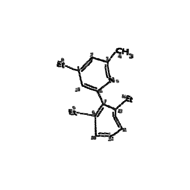 CCc1[c]c(C)nc(-c2c(CC)cccc2CC)c1